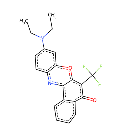 CCN(CC)c1ccc2nc3c4ccccc4c(=O)c(C(F)(F)F)c-3oc2c1